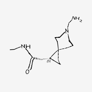 CNC(=O)[C@H]1CC12CN(N)C2